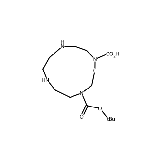 CC(C)(C)OC(=O)N1CCNCCNCCN(C(=O)O)CC1